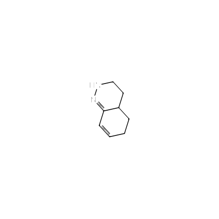 C1=CC2=[N+]NCCC2CC1